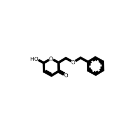 O=C1C=CC(O)OC1COCc1ccccc1